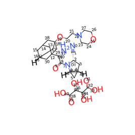 N#C[C@@H]1C[C@@H]2C[C@@H]2N1C(=O)[C@@H](N)C12CC3C[C@H](CC(OCCN4CCOCC4)(C3)C1)C2.O=C(O)[C@@H](O)[C@@H](O)C(=O)O